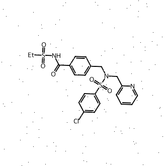 CCS(=O)(=O)NC(=O)c1ccc(CN(Cc2ccccn2)S(=O)(=O)c2ccc(Cl)cc2)cc1